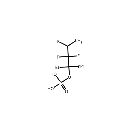 CCCC(CC)(OP(=O)(O)O)C(F)(F)C(C)F